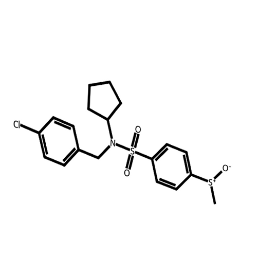 C[S+]([O-])c1ccc(S(=O)(=O)N(Cc2ccc(Cl)cc2)C2CCCC2)cc1